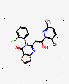 Cc1ccc(C#N)c(C(O)=Cc2nc3ccsc3c(=O)n2-c2ccccc2Cl)n1